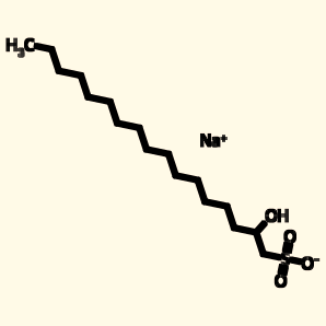 CCCCCCCCCCCCCCCC(O)CS(=O)(=O)[O-].[Na+]